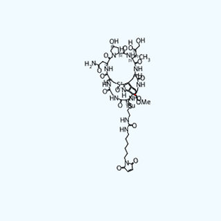 CC[C@H](C)[C@@H]1NC(=O)CNC(=O)[C@@H]2Cc3c([nH]c4c(CSCCNC(=O)NCCCCCCN5C(=O)C=CC5=O)c(OC)ccc34)[S+]([O-])C[C@H](NC(=O)CNC1=O)C(=O)N[C@@H](CC(N)=O)C(=O)N1C[C@H](O)C[C@H]1C(=O)N[C@@H]([C@@H](C)[C@@H](O)CO)C(=O)N2